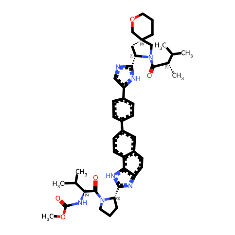 COC(=O)N[C@H](C(=O)N1CCC[C@H]1c1nc2ccc3cc(-c4ccc(-c5cnc([C@@H]6C[C@]7(CCCOC7)CN6C(=O)[C@@H](C)C(C)C)[nH]5)cc4)ccc3c2[nH]1)C(C)C